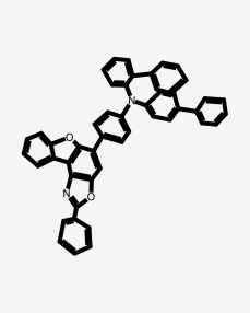 c1ccc(-c2ccc(N(c3ccc(-c4cc5oc(-c6ccccc6)nc5c5c4oc4ccccc45)cc3)c3ccccc3-c3ccccc3)cc2)cc1